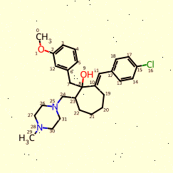 COc1cccc(CC2(O)C(=Cc3ccc(Cl)cc3)CCCCC2CN2CCN(C)CC2)c1